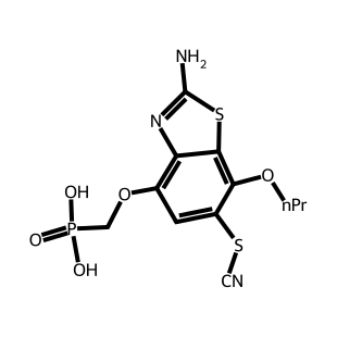 CCCOc1c(SC#N)cc(OCP(=O)(O)O)c2nc(N)sc12